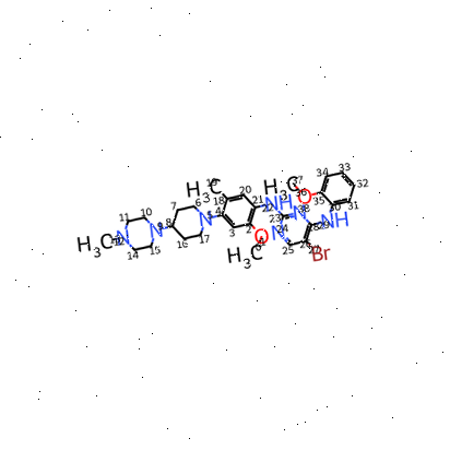 COc1cc(N2CCC(N3CCN(C)CC3)CC2)c(C)cc1Nc1ncc(Br)c(Nc2ccccc2OC)n1